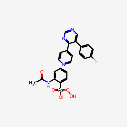 CC(=O)Nc1ccccc1[As](=O)(O)OO.Fc1ccc(-c2cncnc2-c2ccncc2)cc1